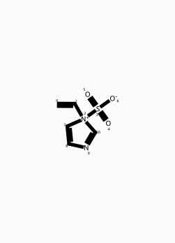 C=C[N+]1(S(=O)(=O)[O-])C=CN=C1